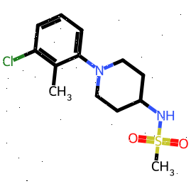 Cc1c(Cl)cccc1N1CCC(NS(C)(=O)=O)CC1